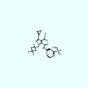 CC1(Cn2nc(C3CC3)c(C(F)F)c2C(=O)Nc2ccnc(S(C)(=N)=O)c2)CC(F)(F)C1